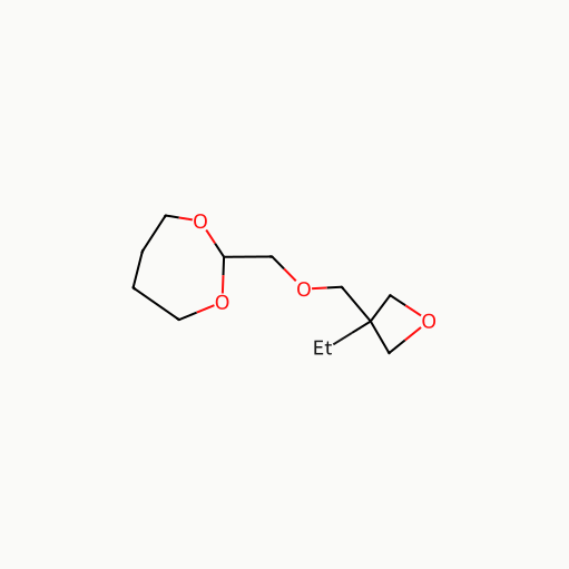 CCC1(COCC2OCCCCO2)COC1